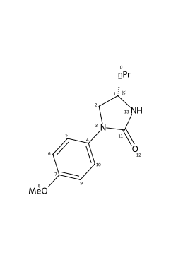 CCC[C@H]1CN(c2ccc(OC)cc2)C(=O)N1